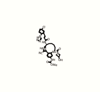 COC(=O)Nc1ccc2c(c1)N[C@@H](C(=O)N1CC(O)C1)CCCC[C@H](NC(=O)C=Cc1cc(Cl)ccc1-n1cnnn1)c1nc-2c(C#N)[nH]1